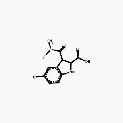 CN(C)C(=O)C1c2cc(Cl)ccc2NC1C(=O)O